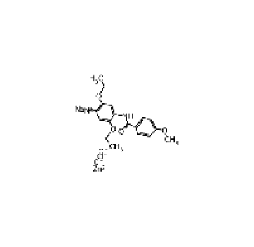 CCOc1cc(NC(=O)c2ccc(OC)cc2)c(OCC)cc1[N+]#N.[Cl-].[Cl-].[Cl-].[Zn+2]